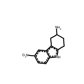 NC1CCc2[nH]c3ccc([N+](=O)[O-])cc3c2C1